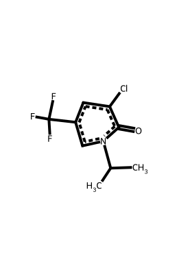 CC(C)n1cc(C(F)(F)F)cc(Cl)c1=O